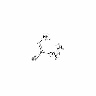 CC(C)C(=CN)C(=O)O.CCl